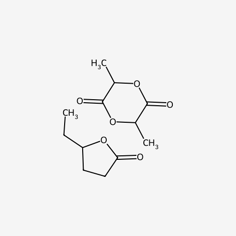 CC1OC(=O)C(C)OC1=O.CCC1CCC(=O)O1